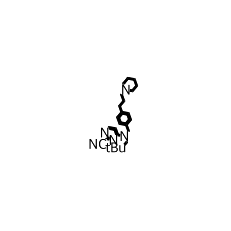 CC(C)(C)CN(Cc1ccc(CCCN2CCCCC2)cc1)c1ccnc(C#N)n1